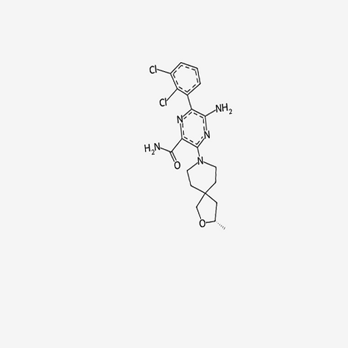 C[C@H]1CC2(CCN(c3nc(N)c(-c4cccc(Cl)c4Cl)nc3C(N)=O)CC2)CO1